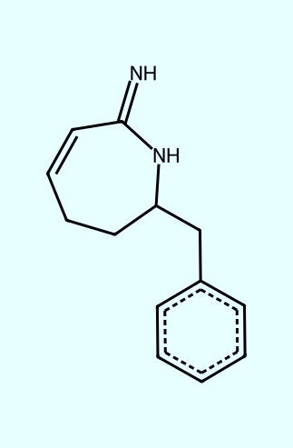 N=C1C=CCCC(Cc2ccccc2)N1